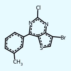 Cc1cccc(-c2nc(Cl)nc3c(Br)csc23)c1